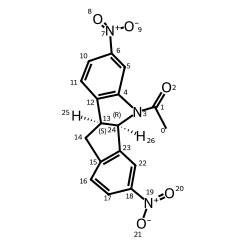 CC(=O)N1c2cc([N+](=O)[O-])ccc2[C@@H]2Cc3ccc([N+](=O)[O-])cc3[C@@H]21